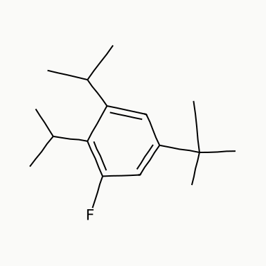 CC(C)c1cc(C(C)(C)C)cc(F)c1C(C)C